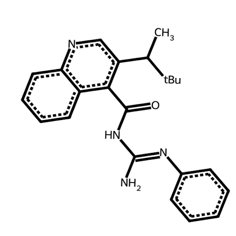 CC(c1cnc2ccccc2c1C(=O)NC(N)=Nc1ccccc1)C(C)(C)C